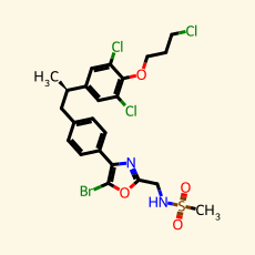 C[C@H](Cc1ccc(-c2nc(CNS(C)(=O)=O)oc2Br)cc1)c1cc(Cl)c(OCCCCl)c(Cl)c1